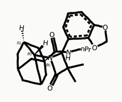 CCCNC(=O)[C@]12CC3CC(C1)[C@@H](N1C(=O)C(C)(C)C1c1cccc4c1OCO4)[C@@H](C3)C2